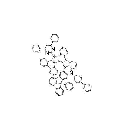 c1ccc(-c2ccc(N(c3ccc4c(c3)C(c3ccccc3)(c3ccccc3)c3ccccc3-4)c3cccc4c3sc3c4c4ccccc4c4c3c3c5ccccc5c5ccccc5c3n4-c3nc(-c4ccccc4)cc(-c4ccccc4)n3)cc2)cc1